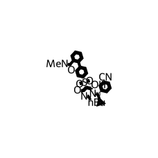 CCCCc1nc(=O)c(S(=O)(=O)c2ccc(-c3ccccc3C(=O)NC)cc2)c(O)n1[C@H](c1cccc(C#N)c1)C1CC1